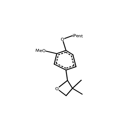 CCCC(C)Oc1ccc(C2OCC2(C)C)cc1OC